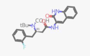 CC(C)(C)N(C(=O)O)[C@@H](CC(=O)Nc1cc2ccccc2[nH]c1=O)Cc1ccccc1F